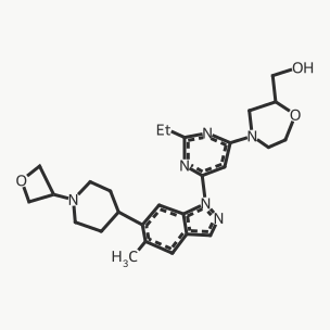 CCc1nc(N2CCOC(CO)C2)cc(-n2ncc3cc(C)c(C4CCN(C5COC5)CC4)cc32)n1